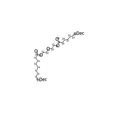 CCCCCCCCCCCCCCCCCC(=O)OCCOCCOC(=O)CCCCCCCCCCCCCCC